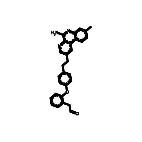 Cc1ccc2c(c1)nc(N)c1ncc(CCc3ccc(Oc4ccccc4CC=O)cc3)cc12